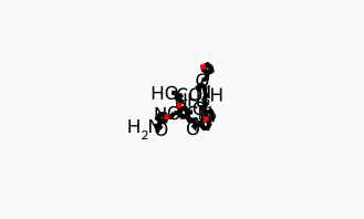 CC(CO)(NCc1cc(Cl)c(CCC(=O)N2CCCC3(CCCN(C(=O)CCCN4CC[C@@H](OCc5ccccc5)C4)C3)C2)cc1OCc1cncc(C(N)=O)c1)C(=O)O